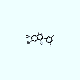 Cc1cc(F)cc(-c2nnc3cc(Cl)c(Br)cc3c2Cl)c1